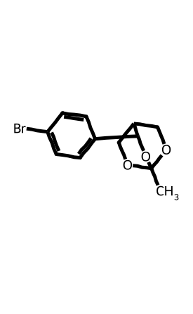 CC12OCC(CO1)C(c1ccc(Br)cc1)O2